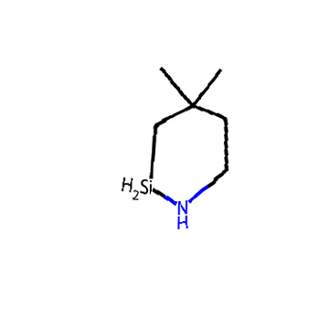 CC1(C)CCN[SiH2]C1